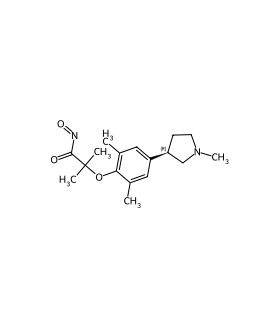 Cc1cc([C@H]2CCN(C)C2)cc(C)c1OC(C)(C)C(=O)N=O